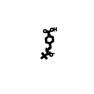 CC(C)(C)[S+]([O-])N=CC1CCN(C(=O)O)CC1